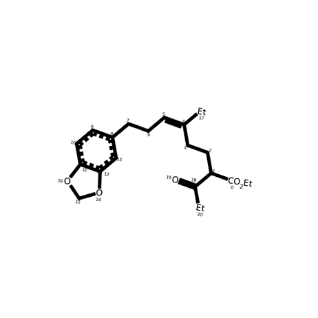 CCOC(=O)C(CCC(=CCCc1ccc2c(c1)OCO2)CC)C(=O)CC